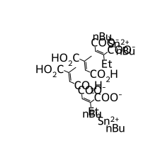 CC(=CC(=O)O)C(=O)O.CC(=CC(=O)O)C(=O)O.CCC(=CC(=O)[O-])C(=O)[O-].CCC(=CC(=O)[O-])C(=O)[O-].CCC[CH2][Sn+2][CH2]CCC.CCC[CH2][Sn+2][CH2]CCC